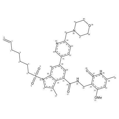 C=CCCCCCS(=O)(=O)n1cc(C)c2c(C(=O)NCc3c(OC)cc(C)[nH]c3=O)cc(-c3ccc(CN4CCOCC4)nc3)cc21